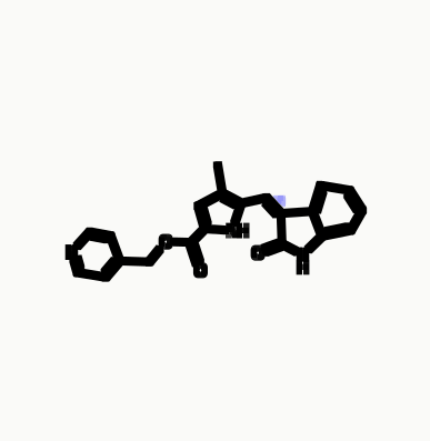 Cc1cc(C(=O)OCc2ccncc2)[nH]c1/C=C1\C(=O)Nc2ccccc21